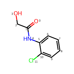 O=C(CO)Nc1ccccc1Cl